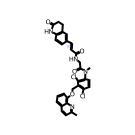 Cc1ccc2cccc(OCc3c(Cl)ccc(N(C)C(=O)CNC(=O)/C=C/c4ccc5c(c4)CCC(=O)N5)c3Cl)c2n1